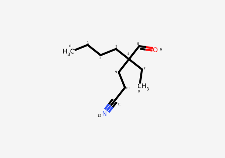 CCCCC(C=O)(CC)CCC#N